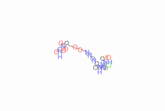 COc1cc(N2CCC(N3CCN(CCCOCCOCCCc4cccc5c4C(=O)N(C4CCC(=O)NC4=O)C5=O)CC3)CC2)ccc1Nc1ncc(Cl)c(Nc2ccccc2P(C)(C)=O)n1